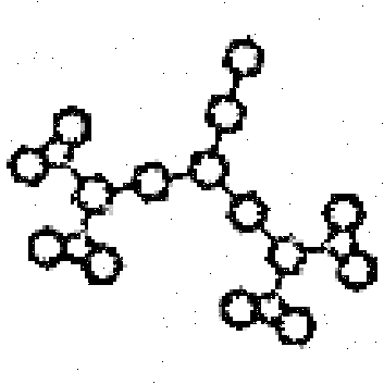 c1ccc(-c2ccc(-c3cc(-c4ccc(-c5cc(-n6c7ccccc7c7ccccc76)nc(-n6c7ccccc7c7ccccc76)n5)cc4)cc(-c4ccc(-c5cc(-n6c7ccccc7c7ccccc76)nc(-n6c7ccccc7c7ccccc76)n5)cc4)c3)cc2)cc1